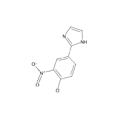 O=[N+]([O-])c1cc(-c2ncc[nH]2)ccc1Cl